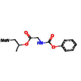 CNCC(C)OC(=O)CNC(=O)Oc1ccccc1